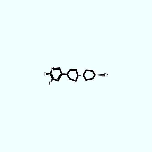 CCC[C@H]1CC[C@H](C2CCC(c3cnc(F)c(F)c3)CC2)CC1